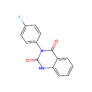 O=c1[nH]c2ccccc2c(=O)n1-c1ccc(F)cc1